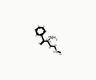 C=C(c1ccccc1)[C@@H](N)CCSC